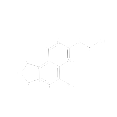 CCSc1ncc2c3c(cc(F)c2n1)COC3